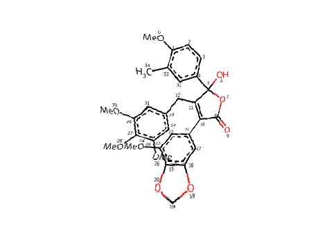 COc1ccc(C2(O)OC(=O)C(c3cc(OC)c4c(c3)OCO4)=C2Cc2cc(OC)c(OC)c(OC)c2)cc1C